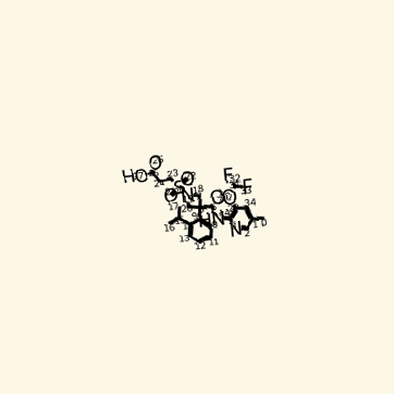 Cc1cnc(NC(=O)C2(c3ccccc3C(C)C)CN(S(=O)(=O)CCC(=O)O)C2)c(OC(F)F)c1